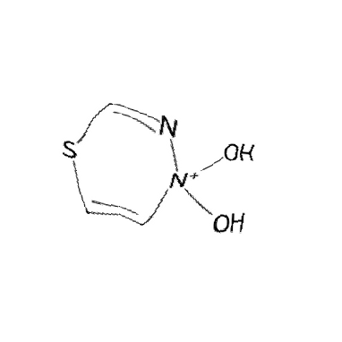 O[N+]1(O)C=CSC=N1